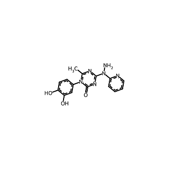 Cc1nc(N(N)c2ccccn2)nc(=O)n1-c1ccc(O)c(O)c1